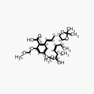 COCOc1cc(OC)cc(/C=C/C[C@@H]2OC(C)(C)O[C@@H]2C(C)/C=C\[C@H](C)[C@H](C)O)c1C(=O)O